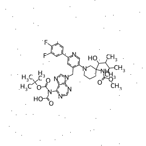 COC(=O)NC1(C(O)C(C)C(C)C)CCCN(c2cnc(-c3ccc(F)c(F)c3)cc2Cn2cnc3c(N(C(=O)O)C(=O)OC(C)(C)C)ncnc32)C1